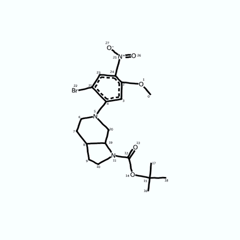 COc1cc(N2CCC3CCN(C(=O)OC(C)(C)C)C3C2)c(Br)cc1[N+](=O)[O-]